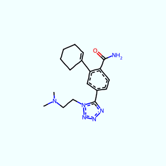 CN(C)CCn1nnnc1-c1ccc(C(N)=O)c(C2=CCCCC2)c1